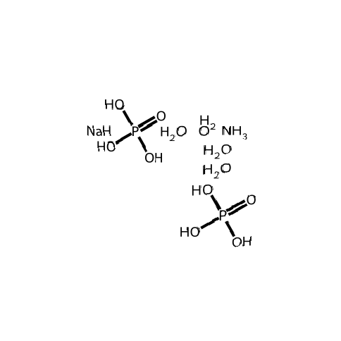 N.O.O.O.O.O=P(O)(O)O.O=P(O)(O)O.[NaH]